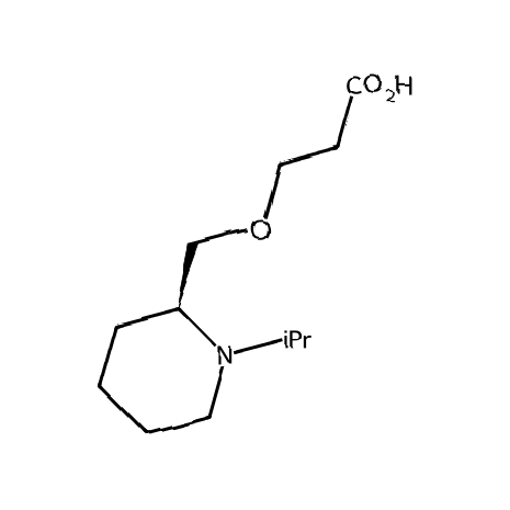 CC(C)N1CCCC[C@H]1COCCC(=O)O